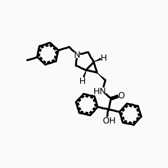 Cc1ccc(CN2C[C@@H]3[C@@H](CNC(=O)C(O)(c4ccccc4)c4ccccc4)[C@@H]3C2)cc1